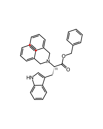 O=C(OCc1ccccc1)[C@H](Cc1c[nH]c2ccccc12)N(Cc1ccccc1)Cc1ccccc1